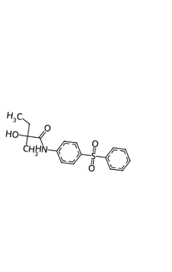 CCC(C)(O)C(=O)Nc1ccc(S(=O)(=O)c2ccccc2)cc1